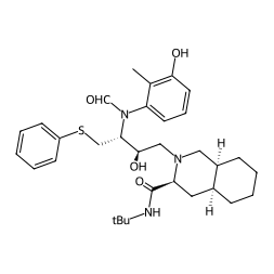 Cc1c(O)cccc1N(C=O)[C@@H](CSc1ccccc1)[C@H](O)CN1C[C@H]2CCCC[C@H]2C[C@H]1C(=O)NC(C)(C)C